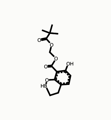 CC(C)(C)C(=O)OCOC(=O)c1c(O)ccc2c1OBCC2